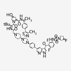 Cc1ncsc1-c1ccc([C@H](C)NC(=O)[C@@H]2C[C@@H](O)CN2C(=O)[C@@H](NC(=O)CN2CCC(N3CCN(c4ccc(-c5cnc6[nH]cc(C(=O)c7c(F)ccc(NS(=O)(=O)N8CC[C@@H](F)C8)c7F)c6c5)cc4)CC3)CC2)C(C)(C)C)cc1